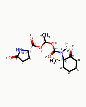 CC(OC(=O)[C@@H]1CCC(=O)N1)OC(=O)N(C)[C@]1(C)CCCCC1=O